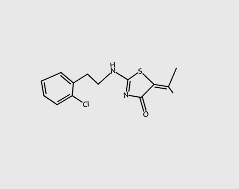 CC(C)=C1SC(NCCc2ccccc2Cl)=NC1=O